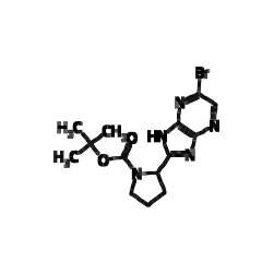 CC(C)(C)OC(=O)N1CCCC1c1nc2ncc(Br)nc2[nH]1